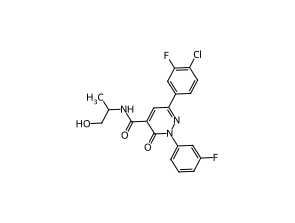 CC(CO)NC(=O)c1cc(-c2ccc(Cl)c(F)c2)nn(-c2cccc(F)c2)c1=O